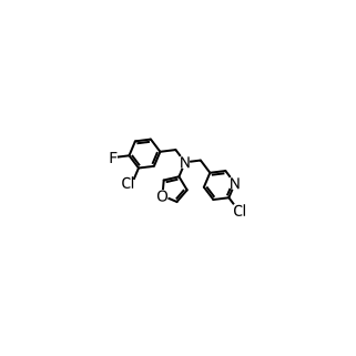 Fc1ccc(CN(Cc2ccc(Cl)nc2)c2ccoc2)cc1Cl